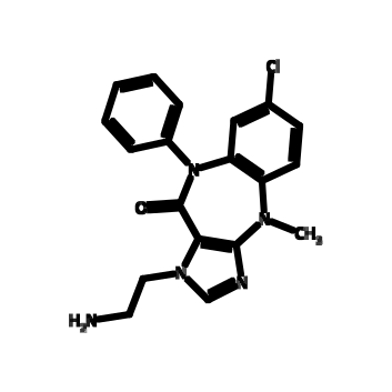 CN1c2ccc(Cl)cc2N(c2ccccc2)C(=O)c2c1ncn2CCN